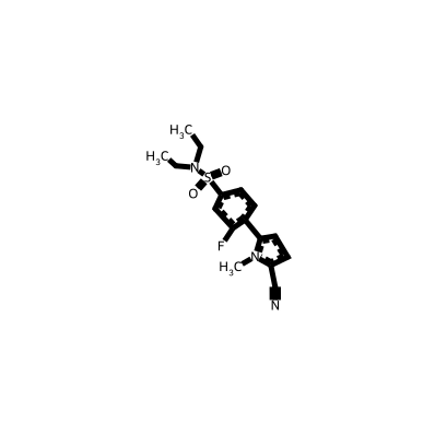 CCN(CC)S(=O)(=O)c1ccc(-c2ccc(C#N)n2C)c(F)c1